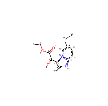 CCOC(=O)C(=O)c1c(C)nc2ccc(CC)cn12